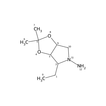 CCC1C2OC(C)(C)OC2CN1N